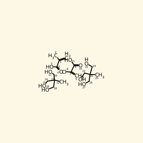 C=C(C)C(=O)O.C=C(Cl)C(=O)O.CC(CO)(CO)CO.CC(CO)(CO)CO